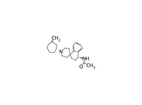 C=C1CCCC[C@@H](N2CCC3(CC[C@H](NC(C)=O)c4ccccc43)CC2)C1